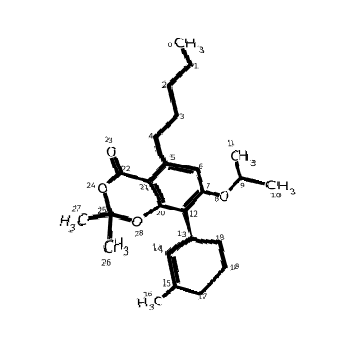 CCCCCc1cc(OC(C)C)c([C@@H]2C=C(C)CCC2)c2c1C(=O)OC(C)(C)O2